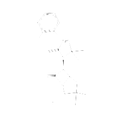 CC1(C)S[C@@H]2[C@H](N3C(=O)C(c4ccccc4O)=NC3(C)C)C(=O)N2[C@H]1C(=O)O